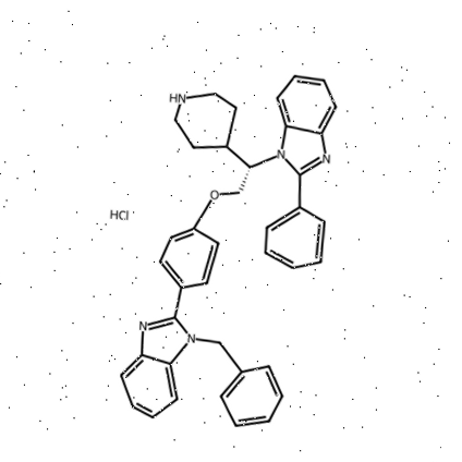 Cl.c1ccc(Cn2c(-c3ccc(OC[C@H](C4CCNCC4)n4c(-c5ccccc5)nc5ccccc54)cc3)nc3ccccc32)cc1